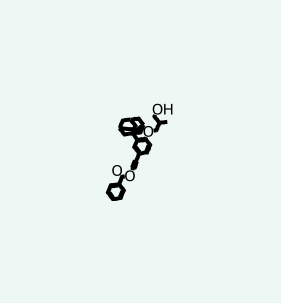 CC(CO)COc1ccc(C#COC(=O)c2ccccc2)cc1C12CC3CC(CC(C3)C1)C2